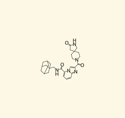 O=C1CC2(CCN(C(=O)c3cn4c(C(=O)NCC56CC7CC(CC(C7)C5)C6)cccc4n3)CC2)CN1